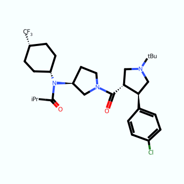 CC(C)C(=O)N([C@H]1CCN(C(=O)[C@@H]2CN(C(C)(C)C)C[C@H]2c2ccc(Cl)cc2)C1)[C@H]1CC[C@@H](C(F)(F)F)CC1